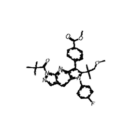 COCC(C)(C)c1c(-c2ccc(C(=O)OC)cc2)c2nc3c(cnn3C(=O)C(C)(C)C)cc2n1-c1ccc(F)cc1